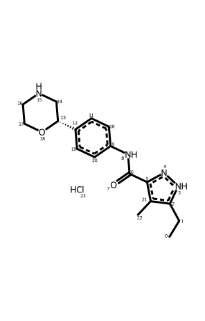 CCc1[nH]nc(C(=O)Nc2ccc([C@H]3CNCCO3)cc2)c1C.Cl